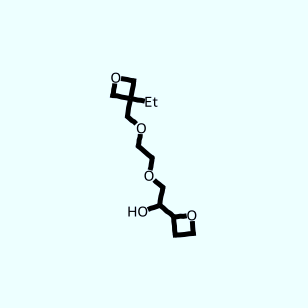 CCC1(COCCOCC(O)C2CCO2)COC1